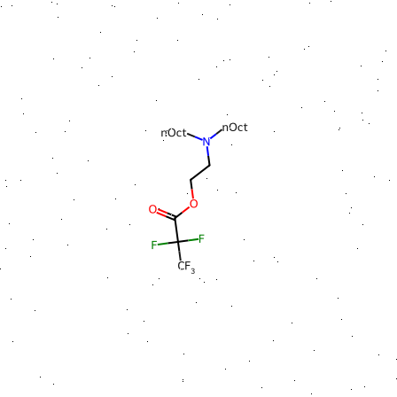 CCCCCCCCN(CCCCCCCC)CCOC(=O)C(F)(F)C(F)(F)F